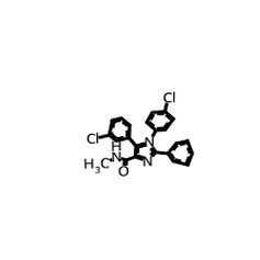 CNC(=O)c1nc(-c2ccccc2)n(-c2ccc(Cl)cc2)c1-c1cccc(Cl)c1